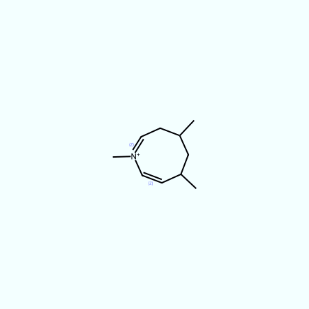 CC1/C=C\[N+](C)=C/CC(C)C1